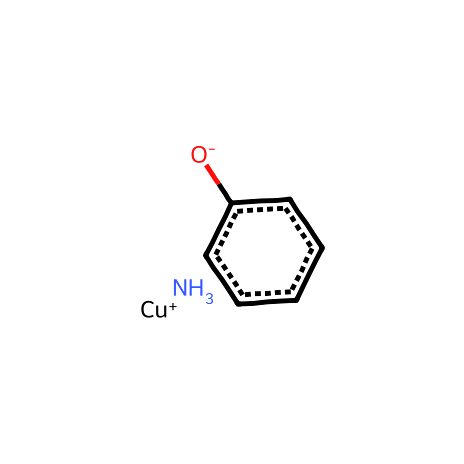 N.[Cu+].[O-]c1ccccc1